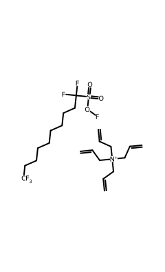 C=CC[N+](CC=C)(CC=C)CC=C.O=S(=O)(OF)C(F)(F)CCCCCCCCC(F)(F)F